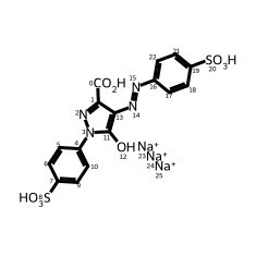 O=C(O)c1nn(-c2ccc(S(=O)(=O)O)cc2)c(O)c1/N=N/c1ccc(S(=O)(=O)O)cc1.[Na+].[Na+].[Na+]